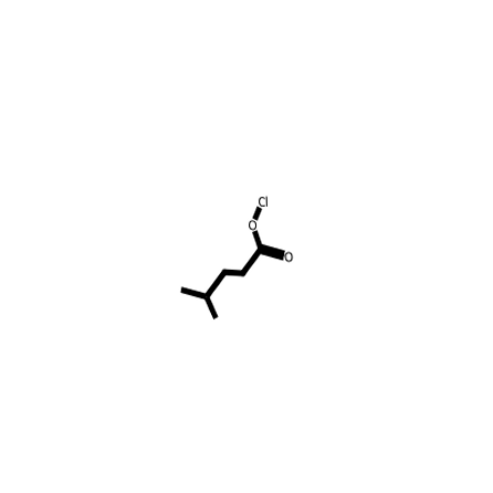 CC(C)CCC(=O)OCl